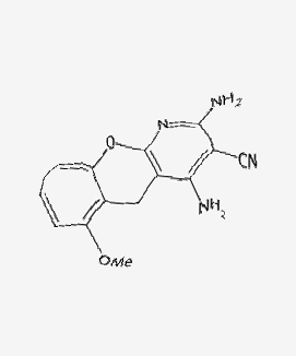 COc1cccc2c1Cc1c(nc(N)c(C#N)c1N)O2